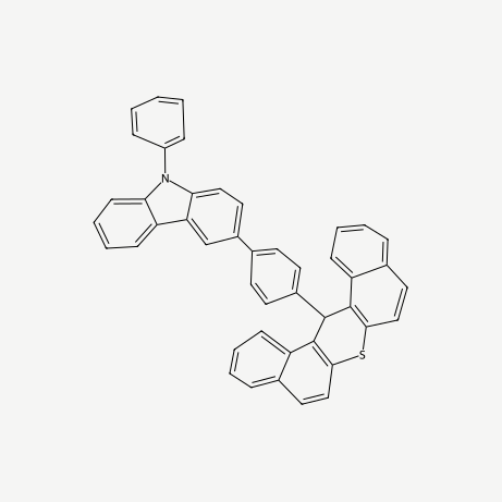 c1ccc(-n2c3ccccc3c3cc(-c4ccc(C5c6c(ccc7ccccc67)Sc6ccc7ccccc7c65)cc4)ccc32)cc1